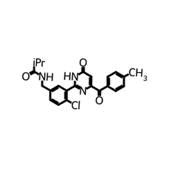 Cc1ccc(C(=O)c2cc(=O)[nH]c(-c3cc(CNC(=O)C(C)C)ccc3Cl)n2)cc1